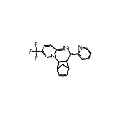 FC(F)(F)C1=CN2C(=NC(c3ccccn3)C3C4C=CC(C4)C32)C=C1